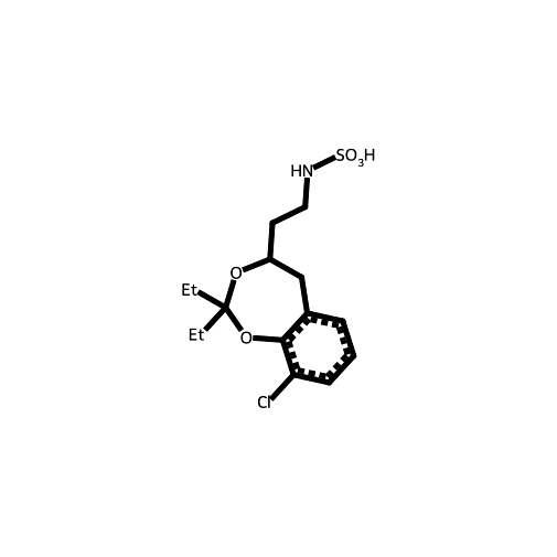 CCC1(CC)Oc2c(Cl)cccc2CC(CCNS(=O)(=O)O)O1